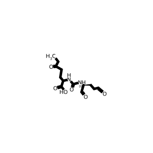 CCC(=O)CCC(NC(=O)N[C@H](C=O)CCC=O)C(=O)O